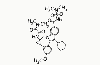 COc1ccc2c(c1)C1CC1(NC(=O)C(=O)N(C)C)Cn1c-2c(C2CCCCC2)c2ccc(C(=O)NS(=O)(=O)N(C)C)cc21